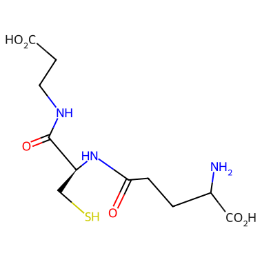 NC(CCC(=O)N[C@@H](CS)C(=O)NCCC(=O)O)C(=O)O